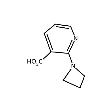 O=C(O)c1cccnc1N1CCC1